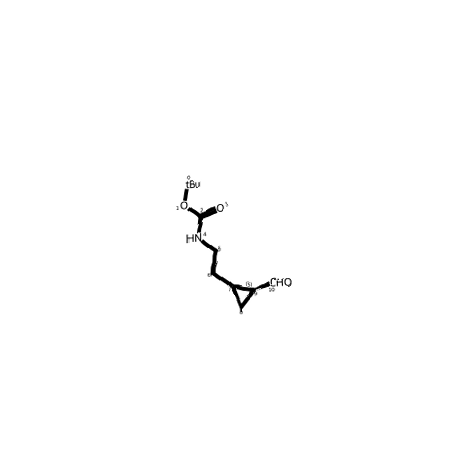 CC(C)(C)OC(=O)NCCC1C[C@@H]1C=O